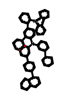 c1ccc(-c2cccc(N(c3cccc(-c4ccc(-c5cccc6ccccc56)cc4)c3)c3ccc(-c4ccccc4-n4c5ccccc5c5ccccc54)cc3-c3ccccc3)c2)cc1